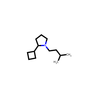 CC(C)CCN1CCCC1C1CCC1